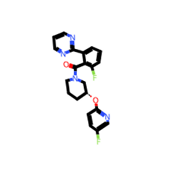 O=C(c1c(F)cccc1-c1ncccn1)N1CCC[C@@H](Oc2ccc(F)cn2)C1